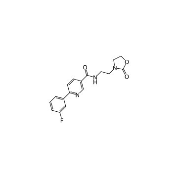 O=C(NCCN1CCOC1=O)c1ccc(-c2cccc(F)c2)nc1